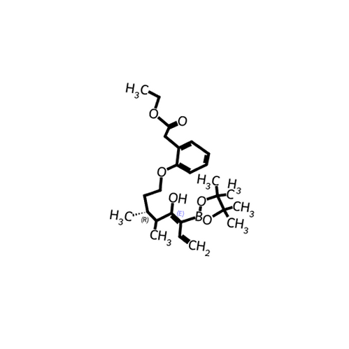 C=C/C(B1OC(C)(C)C(C)(C)O1)=C(/O)C(C)[C@H](C)CCOc1ccccc1CC(=O)OCC